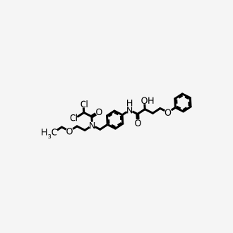 CCOCCN(Cc1ccc(NC(=O)C(O)CCOc2ccccc2)cc1)C(=O)C(Cl)Cl